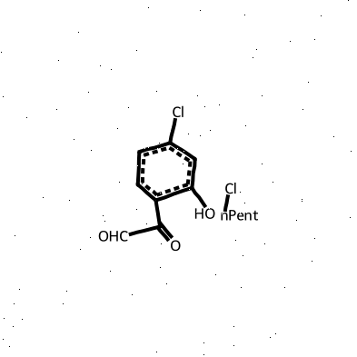 CCCCCCl.O=CC(=O)c1ccc(Cl)cc1O